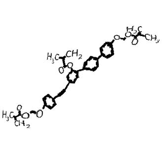 C=C(C)C(=O)OCOc1ccc(C#Cc2ccc(-c3ccc(-c4ccc(OCOC(=O)C(=C)C)cc4)cc3)c(OC(=O)C(=C)C)c2)cc1